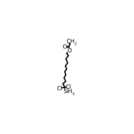 C=CC(=O)OCCCCCCCCCCCC([SiH3])(Cl)Cl